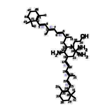 CC1=C(/C=C/C(C)=C/C=C/C(C)CC2C(N)C(/C=C/C=C(C)/C=C/C3=C(C)CCCC3(C)C)CC(N)(N)N2CCO)C(C)(C)CCC1